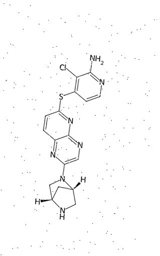 Nc1nccc(Sc2ccc3nc(N4C[C@@H]5C[C@H]4CN5)cnc3n2)c1Cl